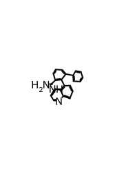 N=C(N)c1cccc(-c2ccccc2)c1-c1cccc2ncccc12